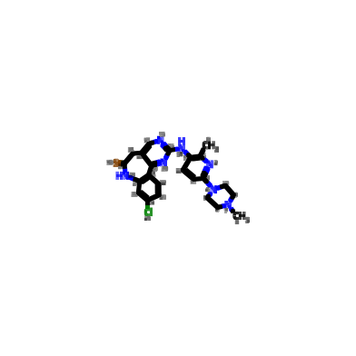 Cc1nc(N2CCN(C)CC2)ccc1Nc1ncc2c(n1)-c1ccc(Cl)cc1NC(=S)C2